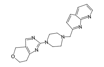 c1cnc2nc(CN3CCN(c4ncc5c(n4)CCOC5)CC3)ccc2c1